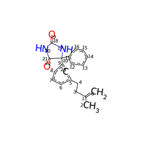 C=C(C)CCc1cccc(C2(c3ccccc3)NC(=O)NC2=O)c1